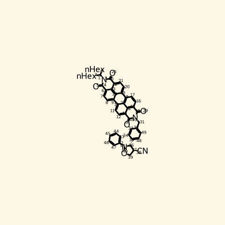 CCCCCCC(CCCCCC)N1C(=O)c2ccc3c4ccc5c6c(ccc(c7ccc(c2c37)C1=O)c64)C(=O)N(Cc1ccc([C@@H]2[C@@H](C#N)CON2c2ccccc2)cc1)C5=O